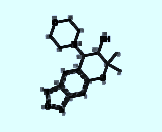 CC1(C)Oc2cc3nonc3cc2C(N2CCOCC2)C1O